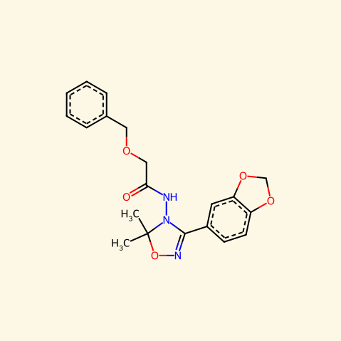 CC1(C)ON=C(c2ccc3c(c2)OCO3)N1NC(=O)COCc1ccccc1